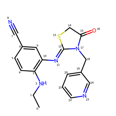 CCNc1ccc(C#N)cc1/N=C1\SCC(=O)N1Cc1cccnc1